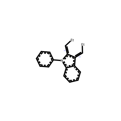 CC/C=c1\c(=C/CC)n(-c2ccccc2)c2ccccc12